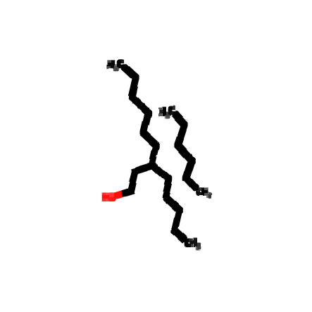 CCCCCC.CCCCCCC(CCO)CCCCC